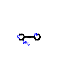 Nc1cnccc1C#Cc1ccccn1